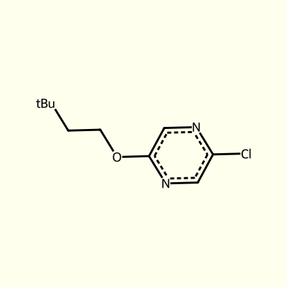 CC(C)(C)CCOc1cnc(Cl)cn1